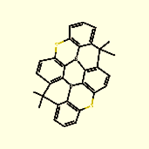 CC1(C)c2cccc3c2B2c4c(ccc5c4B4c6c(cccc6C5(C)C)Sc5ccc1c2c54)S3